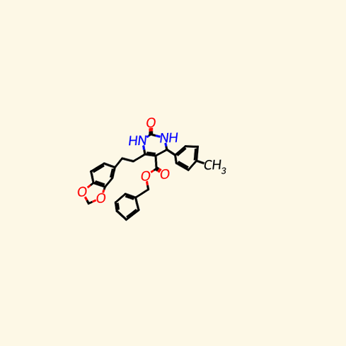 Cc1ccc(C2NC(=O)NC(CCc3ccc4c(c3)OCO4)=C2C(=O)OCc2ccccc2)cc1